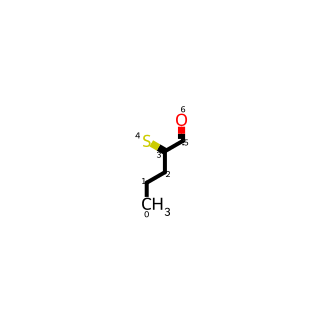 CCCC(=S)[C]=O